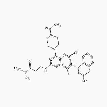 CN(C)C(=O)CCNc1nc(N2CCN(C(N)=O)CC2)c2cc(Cl)c([C@H]3C=C(O)Cc4ccccc43)c(F)c2n1